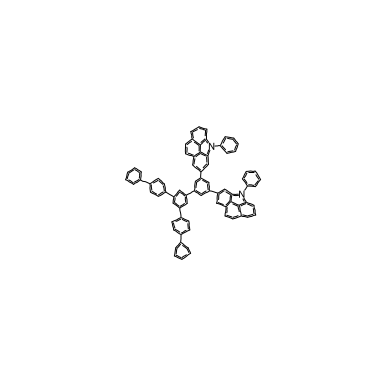 c1ccc(-c2ccc(-c3cc(-c4ccc(-c5ccccc5)cc4)cc(-c4cc(-c5cc6ccc7cccc8c7c6c(c5)n8-c5ccccc5)cc(-c5cc6ccc7cccc8c7c6c(c5)n8-c5ccccc5)c4)c3)cc2)cc1